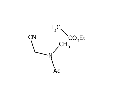 CC(=O)N(C)CC#N.CCOC(C)=O